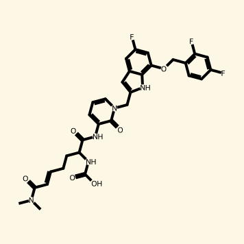 CN(C)C(=O)C=CCCC(NC(=O)O)C(=O)Nc1cccn(Cc2cc3cc(F)cc(OCc4ccc(F)cc4F)c3[nH]2)c1=O